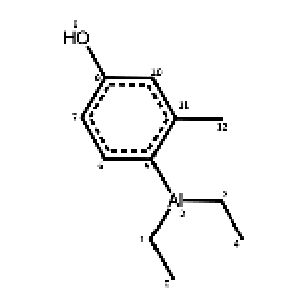 C[CH2][Al]([CH2]C)[c]1ccc(O)cc1C